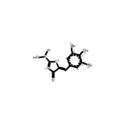 CC(C)N(O)C1=NC(=O)C(=Cc2cc(C(C)(C)C)c(O)c(C(C)(C)C)c2)S1